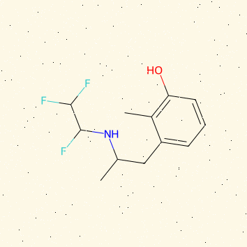 Cc1c(O)cccc1CC(C)NC(F)C(F)F